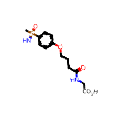 CS(=N)(=O)c1ccc(OCCCC(=O)NCC(=O)O)cc1